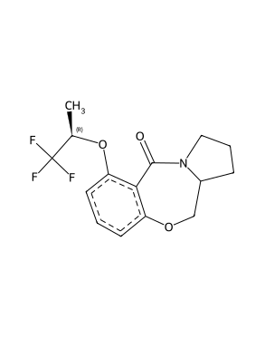 C[C@@H](Oc1cccc2c1C(=O)N1CCCC1CO2)C(F)(F)F